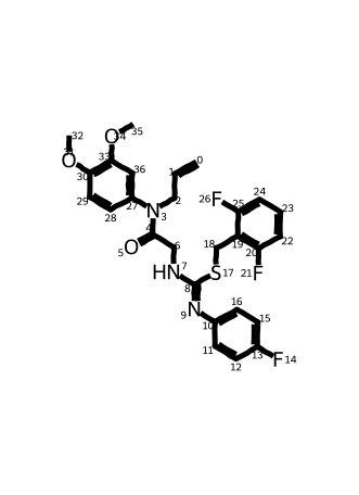 C=CCN(C(=O)CNC(=Nc1ccc(F)cc1)SCc1c(F)cccc1F)c1ccc(OC)c(OC)c1